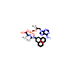 CC(C)N([C@@H](C)C(=O)O)P(=O)(CO[C@@H](C)Cn1cnc2c(N)ncnc21)ON=C(Cc1ccccc1)Cc1ccccc1